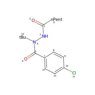 CCCCCC(=O)NN(C(=O)c1ccc(Cl)cc1)C(C)(C)C